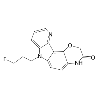 O=C1COc2c(ccc3c2c2ncccc2n3CCCF)N1